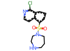 O=S(=O)(c1cccc2c(Cl)nccc12)N1CCCNCC1